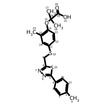 Cc1ccc(-c2nnc(CSc3ccc(OC(C)(C)C(=O)O)c(C)c3)s2)cc1